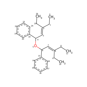 CCC(=CC(OC(C=C(CC)CC)c1ccccc1)c1ccccc1)CC